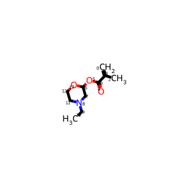 C=C(C)C(=O)OC1CN(CC)CCO1